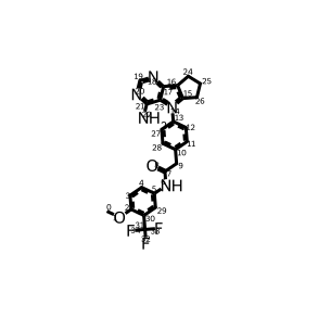 COc1ccc(NC(=O)Cc2ccc(-n3c4c(c5ncnc(N)c53)CCC4)cc2)cc1C(F)(F)F